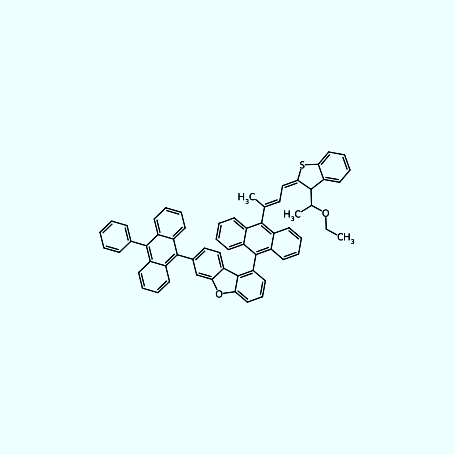 CCOC(C)C1/C(=C\C=C(/C)c2c3ccccc3c(-c3cccc4oc5cc(-c6c7ccccc7c(-c7ccccc7)c7ccccc67)ccc5c34)c3ccccc23)Sc2ccccc21